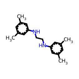 Cc1cc(C)cc(NCCNc2cc(C)cc(C)c2)c1